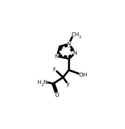 Cn1cnc(C(O)C(F)(F)C(N)=O)n1